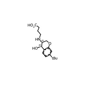 CC(C)(C)c1ccc2c(c1)OC[C@H](NCCCC(=O)O)[C@@H]2O